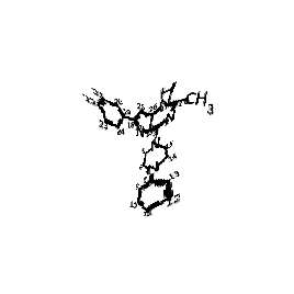 Cc1nc(N2CCN(c3ccccc3)CC2)c2nc(-c3ccccc3)cc-2[nH]1